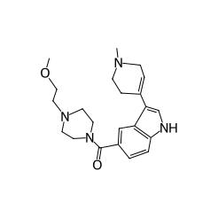 COCCN1CCN(C(=O)c2ccc3[nH]cc(C4=CCN(C)CC4)c3c2)CC1